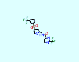 O=C(NCc1cc(S(=O)(=O)c2cccc(C(F)(F)F)c2)ccn1)c1ccnc(C(F)(F)F)n1